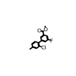 COC(=O)c1cc(F)cc(-c2ccc(C)cc2Cl)c1